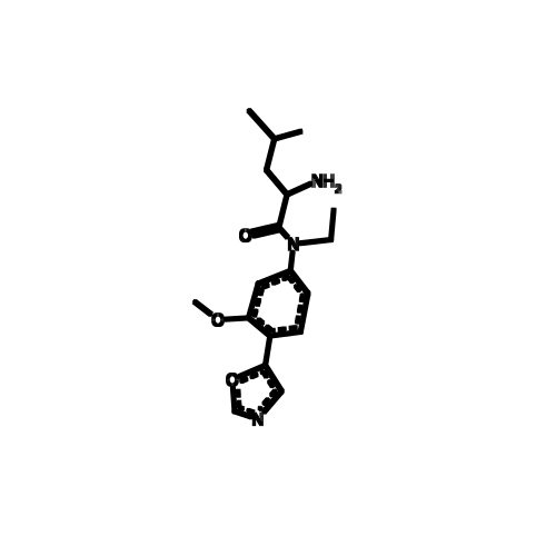 CCN(C(=O)C(N)CC(C)C)c1ccc(-c2cnco2)c(OC)c1